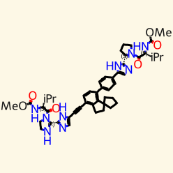 COC(=O)N[C@H](C(=O)N1CCC[C@H]1c1ncc(-c2ccc(-c3ccc(C#Cc4cnc([C@@H]5NCCN5C(=O)[C@@H](NC(=O)OC)C(C)C)[nH]4)c4c3C3(CCCC3)CC4)cc2)[nH]1)C(C)C